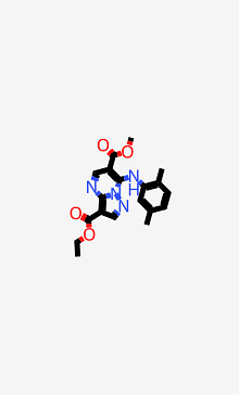 CCOC(=O)c1cnn2c(Nc3cc(C)ccc3C)c(C(=O)OC)cnc12